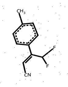 Cc1ccc(C(=CC#N)C(F)F)cc1